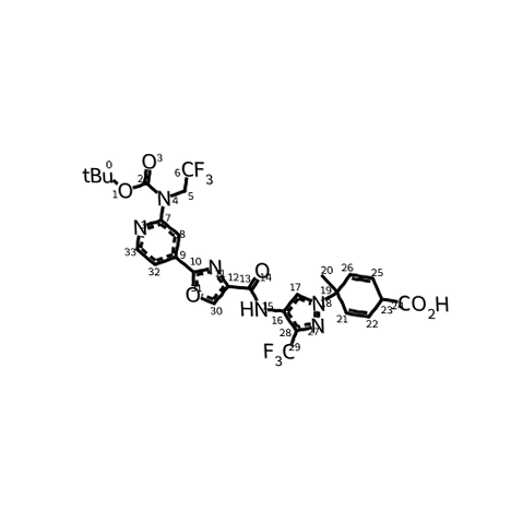 CC(C)(C)OC(=O)N(CC(F)(F)F)c1cc(-c2nc(C(=O)Nc3cn(C4(C)C=CC(C(=O)O)C=C4)nc3C(F)(F)F)co2)ccn1